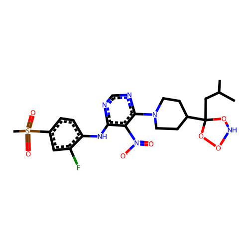 CC(C)CC1(C2CCN(c3ncnc(Nc4ccc(S(C)(=O)=O)cc4F)c3[N+](=O)[O-])CC2)ONOO1